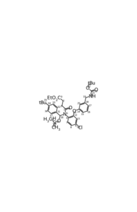 CCOC(=O)CCC(=O)N(c1ccc(Cl)cc1Oc1cccc(CNC(=O)OC(C)(C)C)c1)C(O[SiH](C)C)c1ccc(C(C)(C)C)cc1